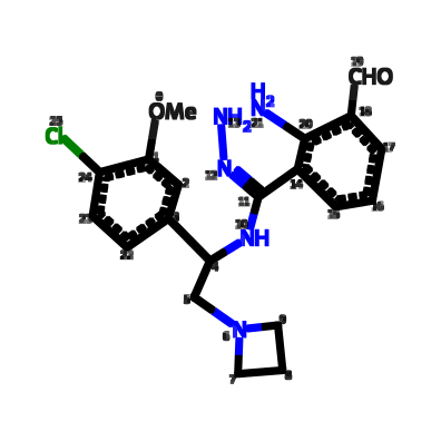 COc1cc(C(CN2CCC2)N/C(=N/N)c2cccc(C=O)c2N)ccc1Cl